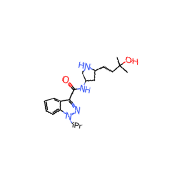 CC(C)n1nc(C(=O)NC2CNC(CCC(C)(C)O)C2)c2ccccc21